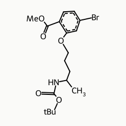 COC(=O)c1ccc(Br)cc1OCCCC(C)NC(=O)OC(C)(C)C